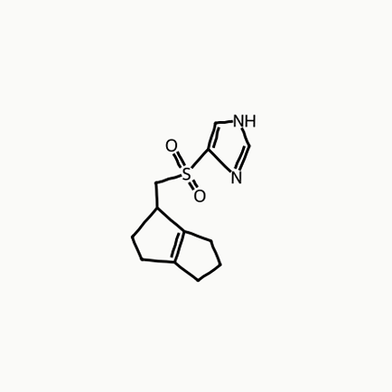 O=S(=O)(CC1CCC2=C1CCC2)c1c[nH]cn1